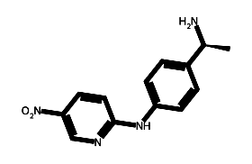 C[C@H](N)c1ccc(Nc2ccc([N+](=O)[O-])cn2)cc1